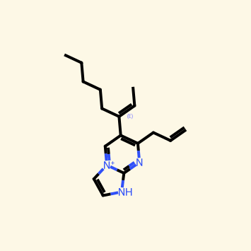 C=CCc1nc2[nH]cc[n+]2cc1/C(=C/C)CCCCC